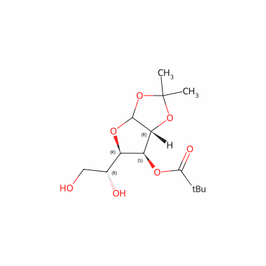 CC1(C)OC2O[C@H]([C@H](O)CO)[C@H](OC(=O)C(C)(C)C)[C@H]2O1